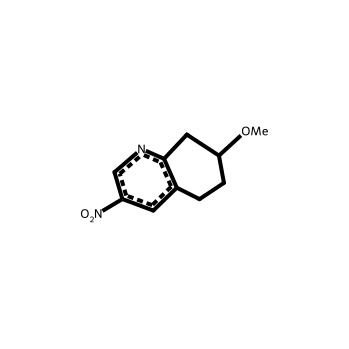 COC1CCc2cc([N+](=O)[O-])cnc2C1